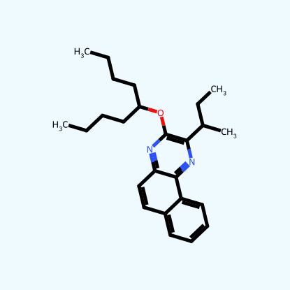 CCCCC(CCCC)Oc1nc2ccc3ccccc3c2nc1C(C)CC